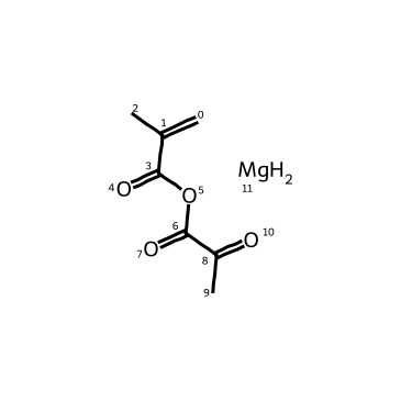 C=C(C)C(=O)OC(=O)C(C)=O.[MgH2]